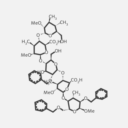 CO[C@H]1O[C@H](COCc2ccccc2)[C@@H](O[C@@H]2O[C@@H](C(=O)O)[C@@H](O[C@H]3O[C@H](CO)[C@@H](O[C@@H]4O[C@H](C(=O)O)[C@@H](O[C@H]5O[C@H](CO)[C@@H](C)[C@H](C)[C@H]5OC)[C@H](C)[C@H]4OC)[C@H](O)[C@H]3OCc3ccccc3)[C@H](C)[C@H]2OC)[C@H](C)[C@H]1OCc1ccccc1